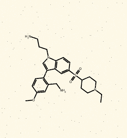 CCN1CCC(S(=O)(=O)c2ccc3c(c2)c(-c2ccc(OC)cc2CN)cn3CCCN)CC1